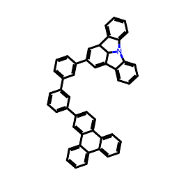 C1=C(c2cccc(-c3cccc(-c4ccc5c6ccccc6c6ccccc6c5c4)c3)c2)C=C2c3ccccc3N3c4ccccc4C1C23